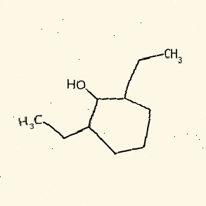 CCC1CCCC(CC)C1O